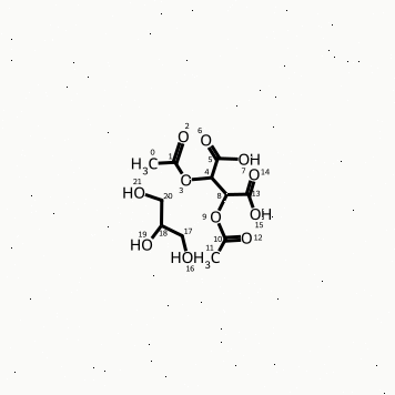 CC(=O)OC(C(=O)O)C(OC(C)=O)C(=O)O.OCC(O)CO